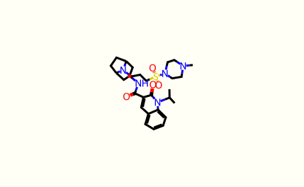 CC(C)n1c(=O)c(C(=O)NC2CC3CCC(C2)N3CCCS(=O)(=O)N2CCN(C)CC2)cc2ccccc21